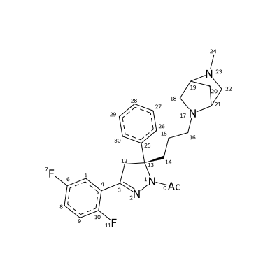 CC(=O)N1N=C(c2cc(F)ccc2F)C[C@]1(CCCN1CC2CC1CN2C)c1ccccc1